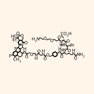 CC[C@@]1(O)C(=O)OCc2c1cc1n(c2=O)Cc2c-1nc1cc(F)c(C)c3c1c2[C@@H](NC(=O)COCNC(=O)CNC(=O)OCc1ccc(NC(=O)[C@H](CCCNC(N)=O)NC(=O)[C@@H](NC(=O)[C@@H](CCC(=O)O)NC(=O)CCOCCOCCN)C(C)C)cc1)CC3